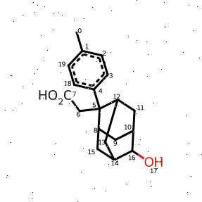 Cc1ccc(C2(CC(=O)O)C3CC4CC2CC(C3)C4O)cc1